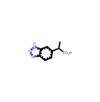 CC(C(=O)O)c1ccc2nn[nH]c2c1